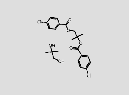 CC(C)(COC(=O)c1ccc(Cl)cc1)OC(=O)c1ccc(Cl)cc1.CC(C)(O)CO